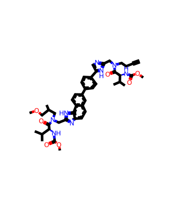 C#CCCN(Cc1ncc(-c2ccc(-c3ccc4c(ccc5nc(CN(CC(C)COC)C(=O)[C@@H](NC(=O)OC)C(C)C)[nH]c54)c3)cc2)[nH]1)C(=O)[C@@H](NC(=O)OC)C(C)C